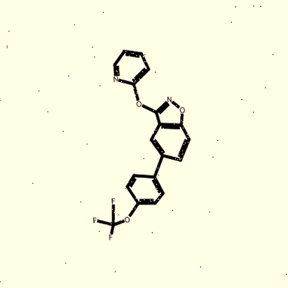 FC(F)(F)Oc1ccc(-c2ccc3onc(Oc4ccccn4)c3c2)cc1